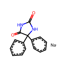 O=C1NC(=O)C(c2ccccc2)(c2ccccc2)N1.[Na]